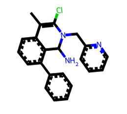 CC1=C(Cl)N(Cc2ccccn2)C(N)c2c1cccc2-c1ccccc1